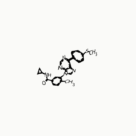 CSc1ccc(-c2ncnc3c2ncn3-c2cc(C(=O)NC3CC3)ccc2C)cc1